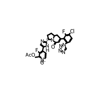 CC(=O)OCc1c(F)c(-c2cnc([C@@H]3CCC4CC(c5c(-n6cnnn6)ccc(Cl)c5F)=CC(=O)N43)[nH]2)cc[n+]1[O-]